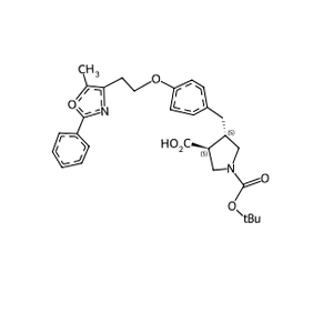 Cc1oc(-c2ccccc2)nc1CCOc1ccc(C[C@@H]2CN(C(=O)OC(C)(C)C)C[C@H]2C(=O)O)cc1